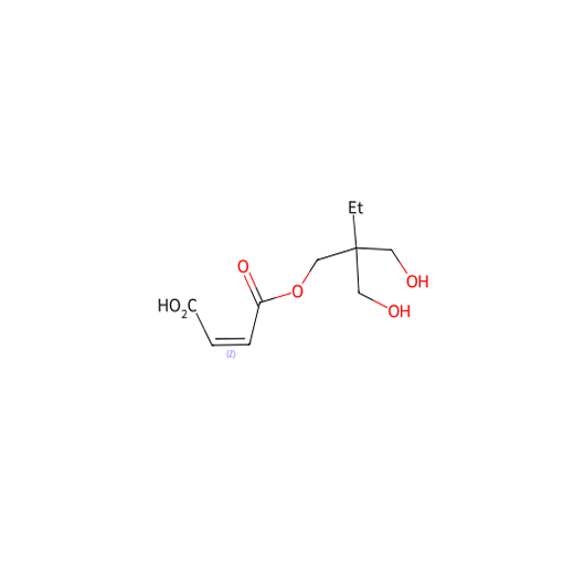 CCC(CO)(CO)COC(=O)/C=C\C(=O)O